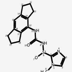 Cn1ccnc1[S+]([O-])NC(=O)Nc1c2c(cc3c1CCC3)CCC2